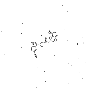 COc1cccc2c1O[C@@H](CN[C@H]1CC[C@H](c3cn(C)c4ccc(C#N)cc34)C1)CO2